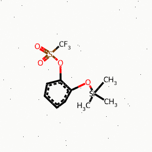 C[Si](C)(C)Oc1ccccc1OS(=O)(=O)C(F)(F)F